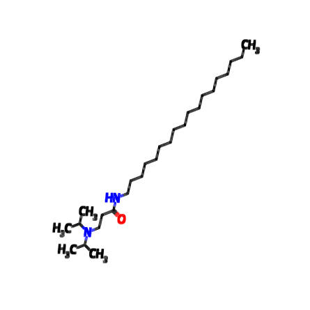 CCCCCCCCCCCCCCCCCCNC(=O)CCN(C(C)C)C(C)C